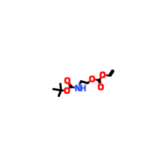 C=COC(=O)OCCNC(=O)OC(C)(C)C